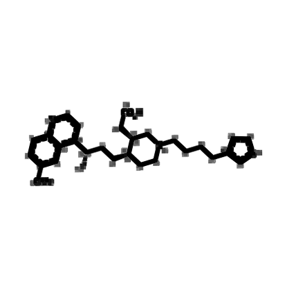 COc1ccc2nccc([C@@H](F)CC[C@@H]3CCN(CCCCc4ccsc4)C[C@@H]3CC(=O)O)c2c1